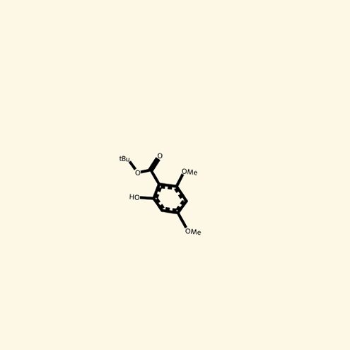 COc1cc(O)c(C(=O)OC(C)(C)C)c(OC)c1